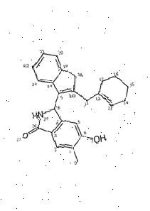 Cc1cc2c(cc1O)C(C1=C(CC3=CCCCC3)Cc3ccccc31)NC2=O